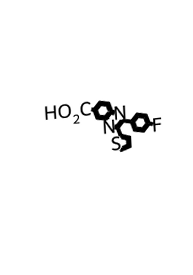 O=C(O)c1ccc2nc(-c3ccc(F)cc3)c(-c3cccs3)nc2c1